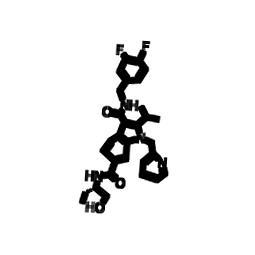 CC[C@@H](CO)NC(=O)c1ccc2c(C(=O)NCc3ccc(F)c(F)c3)c(C(C)C)n(Cc3ccccn3)c2c1